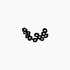 c1cc(-c2ccc3oc4c(ccc5c6ccccc6oc54)c3c2)cc(-c2c3ccccc3c(-c3cc4ccccc4c4ccccc34)c3ccccc23)c1